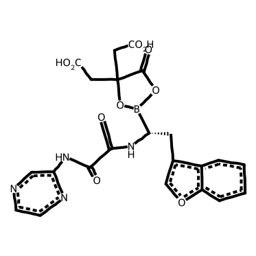 O=C(O)CC1(CC(=O)O)OB([C@H](Cc2coc3ccccc23)NC(=O)C(=O)Nc2cnccn2)OC1=O